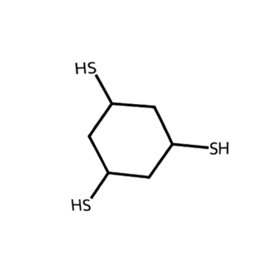 SC1CC(S)CC(S)C1